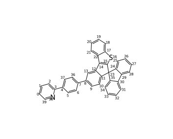 c1ccc(-c2ccc(-c3ccc4c(c3)-c3c(sc5ccccc35)C43c4ccccc4-c4ccccc43)cc2)nc1